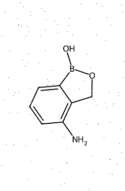 Nc1cccc2c1COB2O